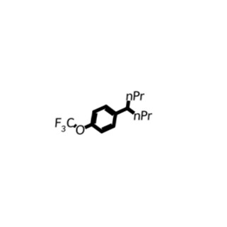 CCCC(CCC)c1ccc(OC(F)(F)F)cc1